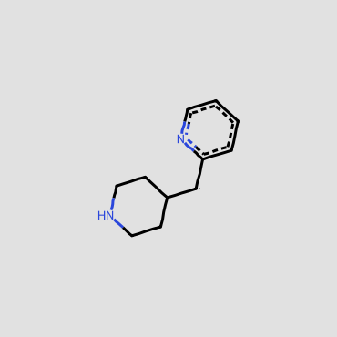 [CH](c1ccccn1)C1CCNCC1